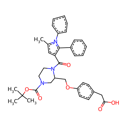 Cc1cc(C(=O)N2CCN(C(=O)OC(C)(C)C)CC2COc2ccc(CC(=O)O)cc2)c(-c2ccccc2)n1-c1ccccc1